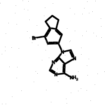 Nc1ncnc2c1ncn2-c1cc(Br)c2c(c1)CCC2